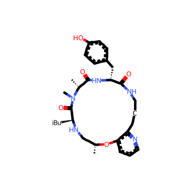 CCC(C)[C@@H]1NC[C@@H](C)Oc2cccnc2CCCNC(=O)[C@@H](Cc2ccc(O)cc2)NC(=O)[C@@H](C)N(C)C1=O